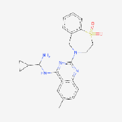 Cc1ccc2nc(N3CCS(=O)(=O)c4ccccc4C3)nc(NC(N)C3CC3)c2c1